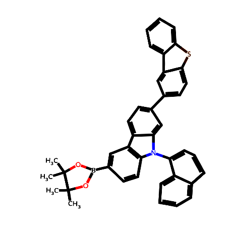 CC1(C)OB(c2ccc3c(c2)c2ccc(-c4ccc5sc6ccccc6c5c4)cc2n3-c2cccc3ccccc23)OC1(C)C